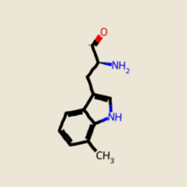 Cc1cccc2c(C[C@H](N)[C]=O)c[nH]c12